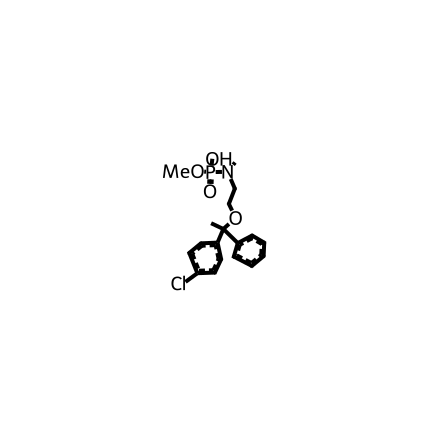 COP(=O)(O)N(C)CCOC(C)(c1ccccc1)c1ccc(Cl)cc1